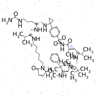 CN[C@H](CN(C)[C@H](CN[C@H](/C=C(\C)C(=O)NS(=O)(=O)c1ccc(C2(NC[C@@H](CCCNC(N)=O)NC[C@H](NCCCCCCN3C(=O)C=CC3=O)C(C)C)CC2)cc1)C(C)C)C(C)(C)C)C(C)(C)c1ccccc1